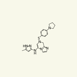 Cc1cc(NC2=CN(Sc3ccc(N4CCCC4)cc3)CC3=NC=C[N+]23)n[nH]1